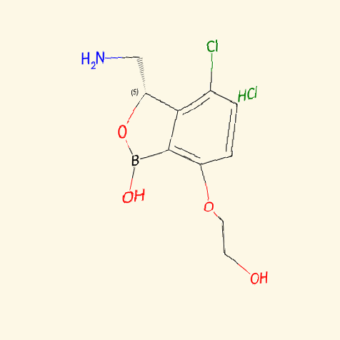 Cl.NC[C@H]1OB(O)c2c(OCCO)ccc(Cl)c21